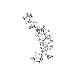 C[C@]12C[C@H](C3CNCCO3)[C@@H](O)C[C@@H]1CC[C@@H]1[C@@H]2CC[C@]2(C)[C@@H](C(=O)Cn3cncn3)CC[C@@H]12